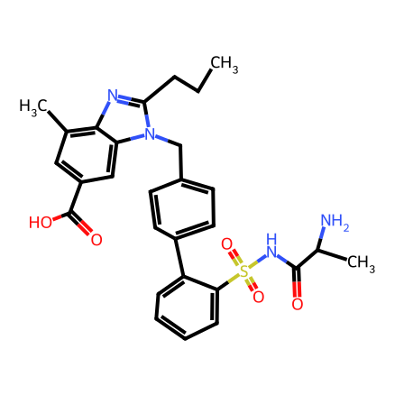 CCCc1nc2c(C)cc(C(=O)O)cc2n1Cc1ccc(-c2ccccc2S(=O)(=O)NC(=O)C(C)N)cc1